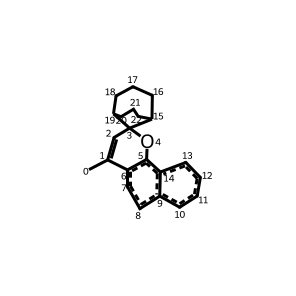 CC1=CC2(Oc3c1ccc1ccccc31)C1CCCC2CCC1